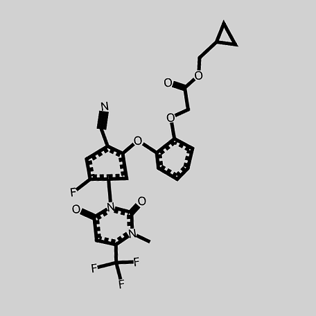 Cn1c(C(F)(F)F)cc(=O)n(-c2cc(Oc3ccccc3OCC(=O)OCC3CC3)c(C#N)cc2F)c1=O